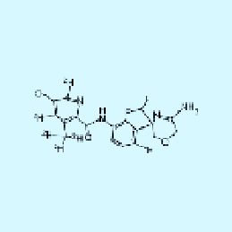 [2H]c1nc(C(=O)Nc2ccc(F)c(C3(C(F)F)COCC(N)=N3)c2)c(C([2H])([2H])[2H])c([2H])c1Cl